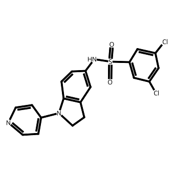 O=S(=O)(Nc1ccc2c(c1)CCN2c1ccncc1)c1cc(Cl)cc(Cl)c1